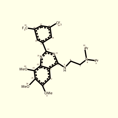 COc1cc2c(NCCN(C(C)C)C(C)C)nc(-c3cc(C(F)(F)F)cc(C(F)(F)F)c3)nc2c(OC)c1OC